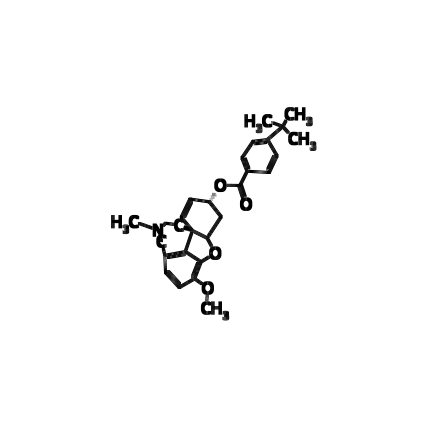 COc1ccc2c3c1OC1C[C@@H](OC(=O)c4ccc(C(C)(C)C)cc4)C=C[C@@]31CCN(C)C2